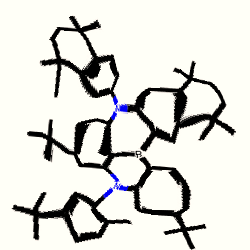 Cc1ccc(C(C)(C)C)cc1N1c2cc(C(C)(C)C)ccc2B2c3cc4c(cc3N(c3ccc5c(c3)C(C)(C)CCC5(C)C)c3cc(C(C)(C)C)cc1c32)C(C)(C)CCC4(C)C